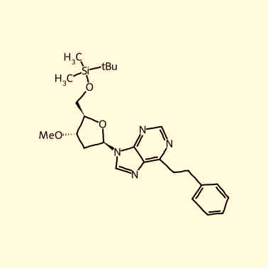 CO[C@H]1C[C@H](n2cnc3c(CCc4ccccc4)ncnc32)O[C@@H]1CO[Si](C)(C)C(C)(C)C